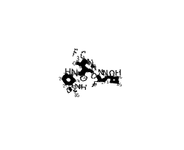 Cc1c(C(F)(F)F)nnc(Oc2nnc(C3(O)CCC3)cc2F)c1C(=O)Nc1cccc(S(C)(=N)=O)c1